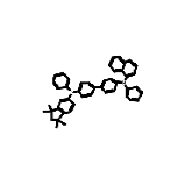 CC1(C)CC(C)(C)c2cc(N(c3ccccc3)c3ccc(-c4ccc(N(c5ccccc5)c5cccc6ccccc56)cc4)cc3)ccc21